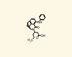 CCCC(CC(=O)O)N1C(=O)c2c(Nc3ccccc3)ccc3c2C(=O)C1C=C3